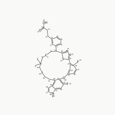 CC1(C)CCCC(c2cccc(CCC(=O)O)c2)c2nnc(s2)-c2cc(ccc2F)Oc2c(F)cc3[nH]ccc3c2CCSC1